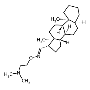 CN(C)CCO/N=C/[C@H]1CC[C@H]2[C@@H]3CC[C@@H]4CCCC[C@]4(C)[C@H]3CC[C@]12C